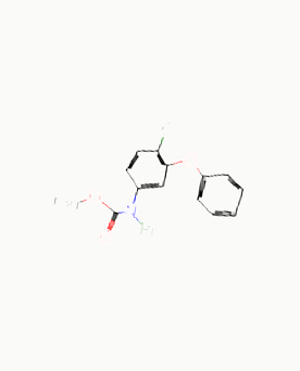 CC(C)(C)OC(=O)N(Br)c1ccc(Cl)c(Oc2ccccc2)c1